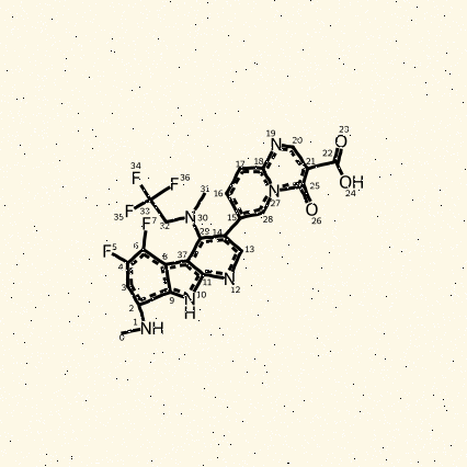 CNc1cc(F)c(F)c2c1[nH]c1ncc(-c3ccc4ncc(C(=O)O)c(=O)n4c3)c(N(C)CC(F)(F)F)c12